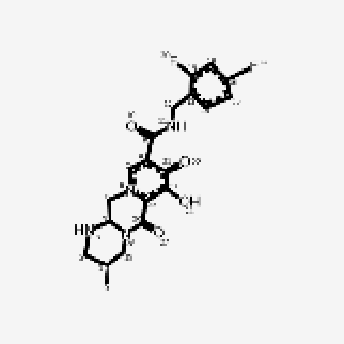 C[C@H]1CNC2Cn3cc(C(=O)NCc4ccc(F)cc4F)c(=O)c(O)c3C(=O)N2C1